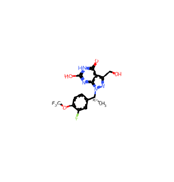 C[C@H](c1ccc(OC(F)(F)F)c(F)c1)n1nc(CO)c2c(=O)[nH]c(O)nc21